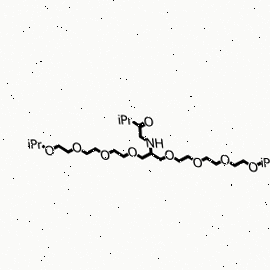 CC(C)OCCOCCOCCOCC(COCCOCCOCCOC(C)C)NCC(=O)C(C)C